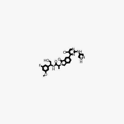 COc1cc(F)cc(C(CO)NC(=O)C(C)N2Cc3ccc(-c4nc(Nc5cn[nH]c5)ncc4Cl)cc3C2=O)c1